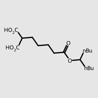 CCCCC(CCCC)OC(=O)CCCCC(C(=O)O)C(=O)O